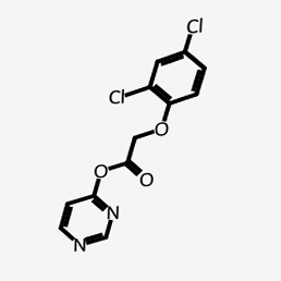 O=C(COc1ccc(Cl)cc1Cl)Oc1ccncn1